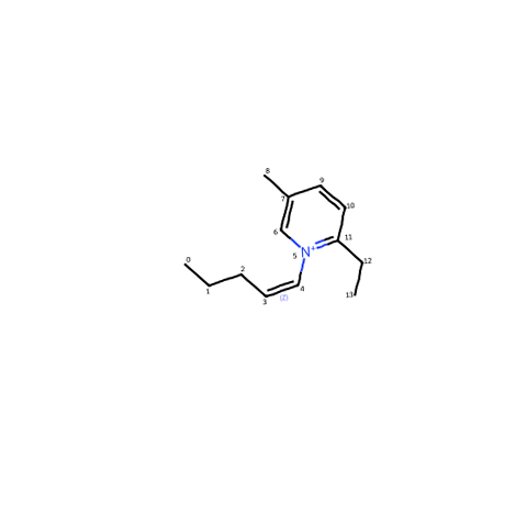 CCC/C=C\[n+]1cc(C)ccc1CC